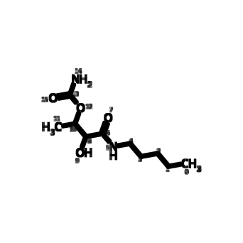 CCCCCNC(=O)C(O)C(C)OC(N)=O